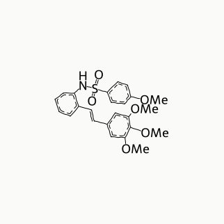 COc1ccc(S(=O)(=O)Nc2ccccc2C=Cc2cc(OC)c(OC)c(OC)c2)cc1